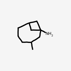 CC1CCCC2CC(N)(C1)C2